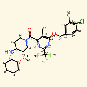 CO[C@@H]1CCCC[C@@H]1NC1CCN(C(=O)c2nc(C(F)(F)F)nc(OCc3ccc(Cl)c(Cl)c3)c2C)CC1